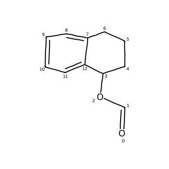 O=COC1CCCc2ccccc21